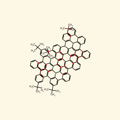 CC(C)(C)c1ccc(N(c2ccccc2)c2cc3c4c(c2)N(c2c(-c5ccccc5)cc(C(C)(C)C)cc2-c2ccccc2)c2ccc(-c5cccc(N(c6ccccc6)c6cc7c8c(c6)N(c6c(-c9ccccc9)cccc6-c6ccccc6)c6cc(C(C)(C)C)ccc6B8c6ccc(C(C)(C)C)cc6N7c6ccccc6-c6ccccc6)c5)cc2B4c2ccccc2N3c2ccc(C(C)(C)C)cc2-c2ccccc2)cc1